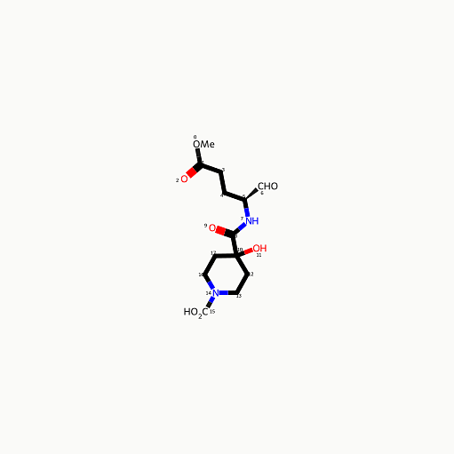 COC(=O)CC[C@@H](C=O)NC(=O)C1(O)CCN(C(=O)O)CC1